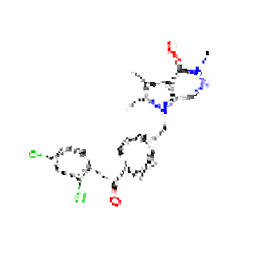 Cc1c(C)n(Cc2ccc(C(=O)c3ccc(Cl)cc3Cl)cc2)c2cnn(C)c(=O)c12